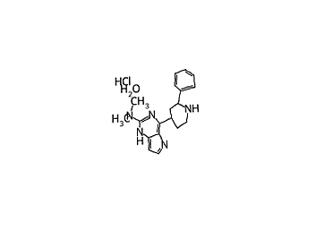 CN(C)c1nc(C2CCNC(c3ccccc3)C2)c2nccc-2[nH]1.Cl.O